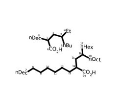 CCCCCCCCCCC(CC(CC)CCCC)C(=O)O.CCCCCCCCCCCCCCCCC(CC(CCCCCC)CCCCCCCC)C(=O)O